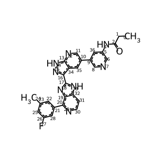 CCC(=O)Nc1cncc(-c2cnc3[nH]nc(-c4nc5c(-c6cc(C)cc(F)c6)nccc5[nH]4)c3c2)c1